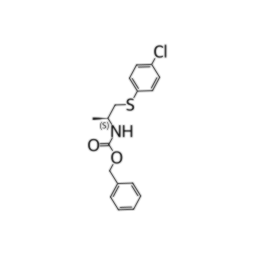 C[C@@H](CSc1ccc(Cl)cc1)NC(=O)OCc1ccccc1